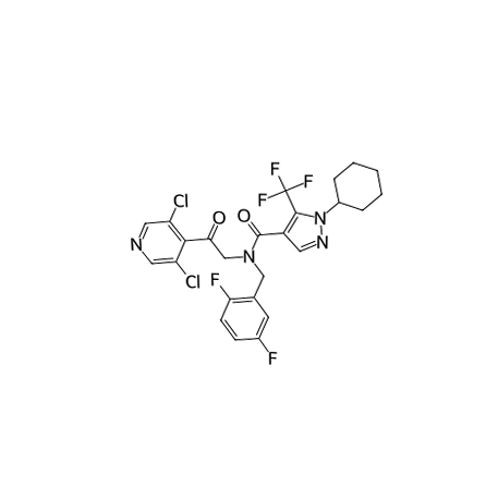 O=C(CN(Cc1cc(F)ccc1F)C(=O)c1cnn(C2CCCCC2)c1C(F)(F)F)c1c(Cl)cncc1Cl